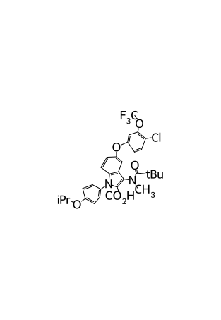 CC(C)Oc1ccc(-n2c(C(=O)O)c(N(C)C(=O)C(C)(C)C)c3cc(Oc4ccc(Cl)c(OC(F)(F)F)c4)ccc32)cc1